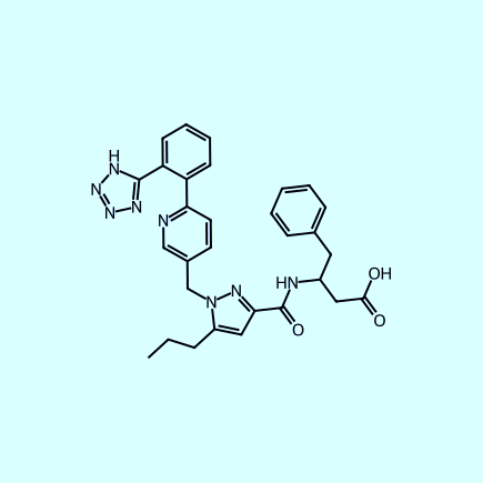 CCCc1cc(C(=O)NC(CC(=O)O)Cc2ccccc2)nn1Cc1ccc(-c2ccccc2-c2nnn[nH]2)nc1